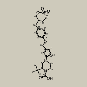 CC(C)(C)C1CC(c2nc(COc3ccc(CC4COS(=O)(=O)OC4)cc3)cs2)CCN1C(=O)O